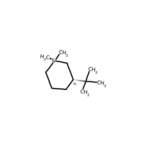 CC(C)(C)[C@@H]1CCC[Si](C)(C)C1